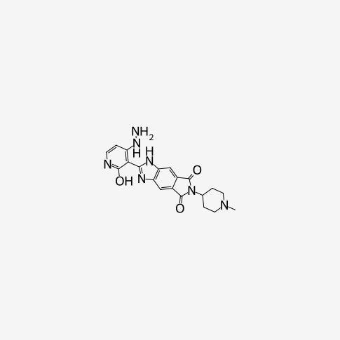 CN1CCC(N2C(=O)c3cc4nc(-c5c(NN)ccnc5O)[nH]c4cc3C2=O)CC1